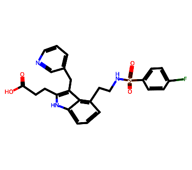 O=C(O)CCc1[nH]c2cccc(CCNS(=O)(=O)c3ccc(F)cc3)c2c1Cc1cccnc1